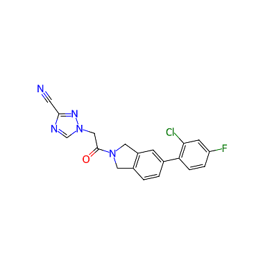 N#Cc1ncn(CC(=O)N2Cc3ccc(-c4ccc(F)cc4Cl)cc3C2)n1